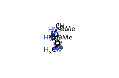 COC[C@@H](C)Nc1nc(OC)c2c(-c3ccc4nnn(C)c4c3)c[nH]c2n1